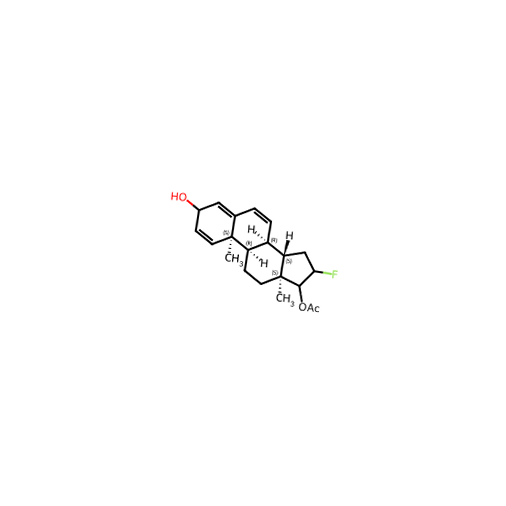 CC(=O)OC1C(F)C[C@H]2[C@@H]3C=CC4=CC(O)C=C[C@]4(C)[C@@H]3CC[C@]12C